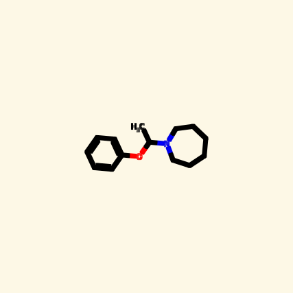 CC(Oc1ccccc1)N1CCCCCC1